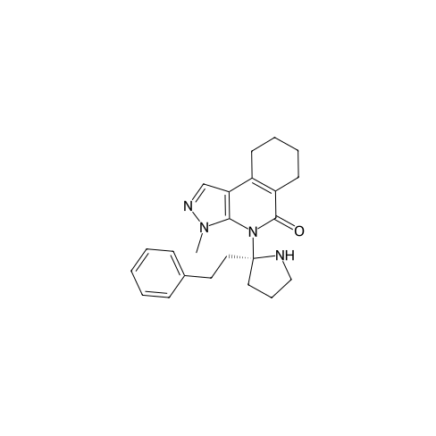 Cn1ncc2c3c(c(=O)n([C@]4(CCc5ccccc5)CCCN4)c21)CCCC3